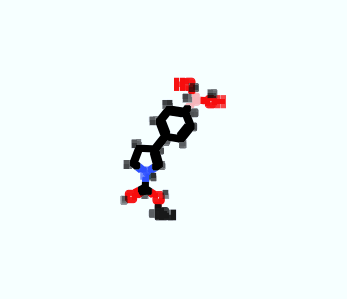 CC(C)(C)OC(=O)N1C=C(c2ccc(B(O)O)cc2)CC1